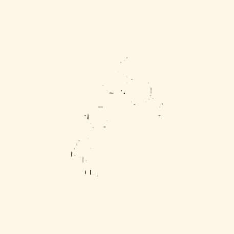 Cn1cc(-c2ccc(C(=O)N3C=C4CC=CN4Cc4ccccc43)cn2)cn1